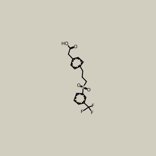 O=C(O)Cc1ccc(CCCS(=O)(=O)c2cccc(C(F)(F)F)c2)cc1